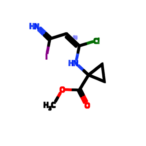 COC(=O)C1(N/C(Cl)=C\C(=N)I)CC1